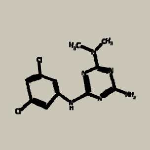 CN(C)c1nc(N)nc(Nc2cc(Cl)cc(Cl)c2)n1